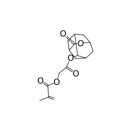 C=C(C)C(=O)OCC(=O)OC1C2CC3CC1CC(C2)C(=O)O3